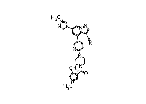 Cc1cn(C)cc1C(=O)N1CCN(c2ccc(-c3cc(-c4cnn(C)c4)cn4ncc(C#N)c34)cn2)CC1